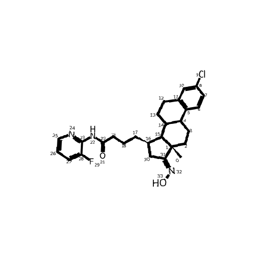 C[C@]12CCC3c4ccc(Cl)cc4CCC3C1[C@H](CCCC(=O)Nc1ncccc1F)C/C2=N\O